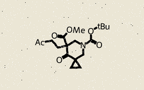 COC(=O)C1(CCC(C)=O)CN(C(=O)OC(C)(C)C)CC2(CC2)C1=O